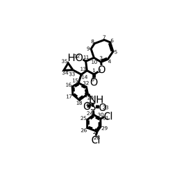 O=C1OC2=CC=CCCCC2C(O)C1C(c1cccc(NS(=O)(=O)c2ccc(Cl)cc2Cl)c1)C1CC1